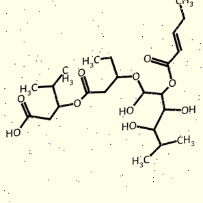 CCC=CC(=O)OC(C(O)OC(CC)CC(=O)OC(CC(=O)O)C(C)C)C(O)C(O)C(C)C